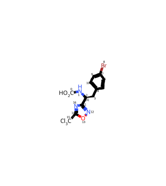 O=C(O)N[C@@H](Cc1ccc(Br)cc1)c1noc(C(Cl)(Cl)Cl)n1